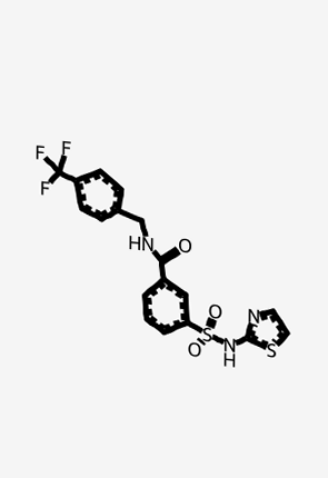 O=C(NCc1ccc(C(F)(F)F)cc1)c1cccc(S(=O)(=O)Nc2nccs2)c1